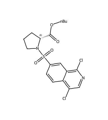 CCCCOC(=O)[C@H]1CCCN1S(=O)(=O)c1ccc2c(Cl)cnc(Cl)c2c1